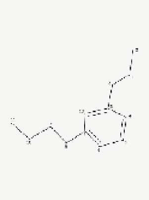 CC[CH]c1cccc(CCCC)c1